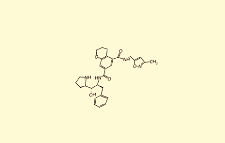 Cc1cc(CNC(=O)c2cc(C(=O)N[C@@H](Cc3ccccc3)[C@H](O)[C@H]3CCCN3)cc3c2CCCO3)on1